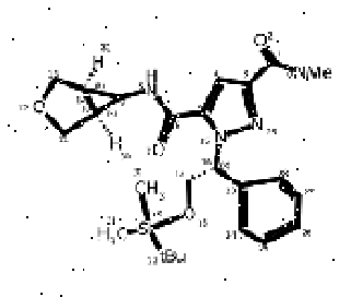 CNC(=O)c1cc(C(=O)NC2[C@H]3COC[C@@H]23)n([C@@H](CO[Si](C)(C)C(C)(C)C)c2ccccc2)n1